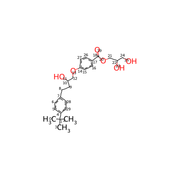 CC(C)(C)c1ccc(CCC(O)COc2ccc(C(=O)OCC(O)CO)cc2)cc1